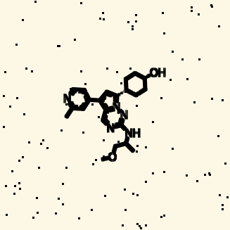 COCC(C)Nc1ncc2c(-c3ccnc(C)c3)cc([C@H]3CC[C@H](O)CC3)n2n1